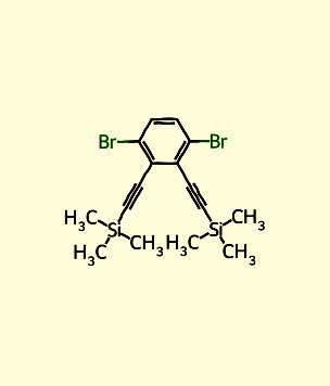 C[Si](C)(C)C#Cc1c(Br)ccc(Br)c1C#C[Si](C)(C)C